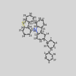 c1ccc(-c2cccc(-c3ccc4c(c3)c3ccccc3n4-c3cccc4sc5ccccc5c34)c2)cc1